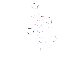 CC(C)[C@H](NC(=O)N(C)Cc1ccccn1)C(=O)N[C@@H](Cc1ccccc1)C(O)C(O)[C@H](Cc1ccccc1)NC(=O)[C@@H](NC(=O)N(C)Cc1ccccn1)C(C)C